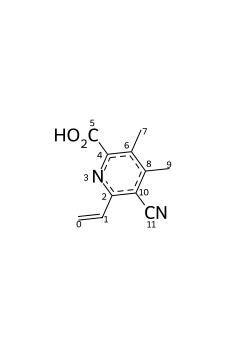 C=Cc1nc(C(=O)O)c(C)c(C)c1C#N